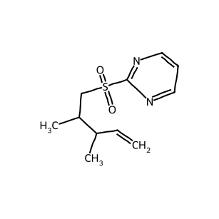 C=CC(C)C(C)CS(=O)(=O)c1ncccn1